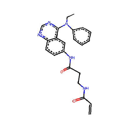 C=CC(=O)NCCC(=O)Nc1ccc2ncnc(N(CC)c3ccccc3)c2c1